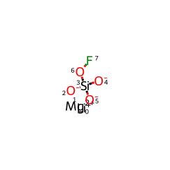 [Li+].[Mg+2].[O-][Si]([O-])([O-])OF